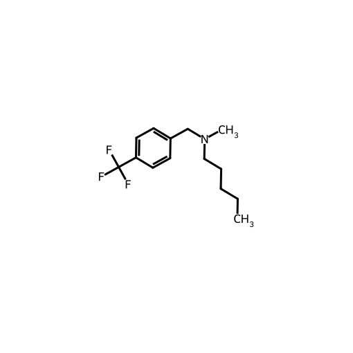 CCCCCN(C)Cc1ccc(C(F)(F)F)cc1